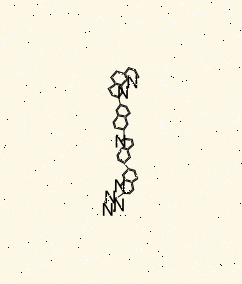 c1cnc2c(c1)ccc1ccc(-c3ccc4cc(-c5ccc6cc(-c7ccc8ccc(-c9ncncn9)nc8c7)ccc6n5)ccc4c3)nc12